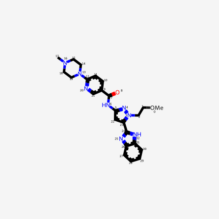 COCCn1nc(NC(=O)c2ccc(N3CCN(C)CC3)nc2)cc1-c1nc2ccccc2[nH]1